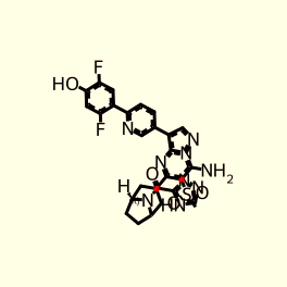 CS(=O)(=O)c1c(C2CC3CC[C@H](C2)N3C(=O)c2nnc[nH]2)nc2c(-c3ccc(-c4cc(F)c(O)cc4F)nc3)cnn2c1N